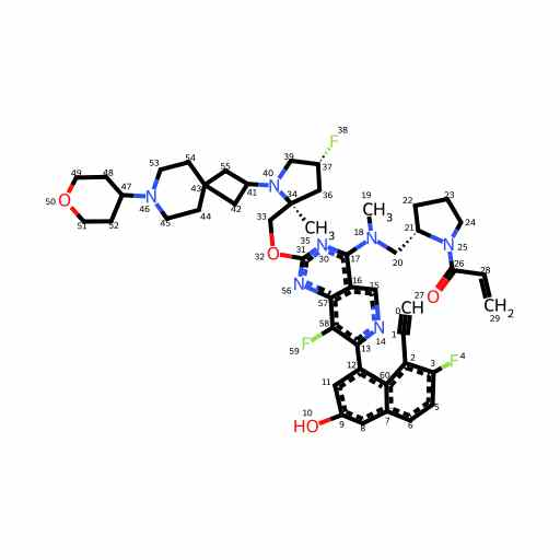 C#Cc1c(F)ccc2cc(O)cc(-c3ncc4c(N(C)C[C@@H]5CCCN5C(=O)C=C)nc(OC[C@]5(C)C[C@@H](F)CN5C5CC6(CCN(C7CCOCC7)CC6)C5)nc4c3F)c12